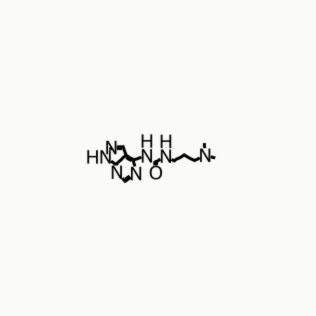 CN(C)CCCNC(=O)Nc1ncnc2[nH]ncc12